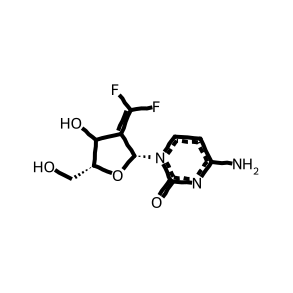 Nc1ccn([C@@H]2O[C@H](CO)C(O)C2=C(F)F)c(=O)n1